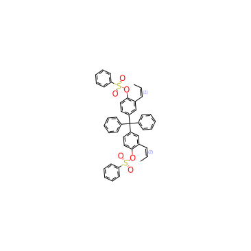 C/C=C\c1cc(C(c2ccccc2)(c2ccccc2)c2ccc(OS(=O)(=O)c3ccccc3)c(/C=C\C)c2)ccc1OS(=O)(=O)c1ccccc1